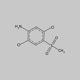 CS(=O)(=O)c1cc(Cl)c(N)cc1Cl